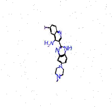 CN1CCN(c2ccc3[nH]c(-c4cnc5ccc(I)cc5c4N)nc3c2)CC1